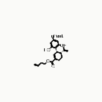 C=CCCOC(=O)C1=C[C@@H](c2c(O)cc(CCCCC)cc2O)[C@H](C(=C)C)CC1